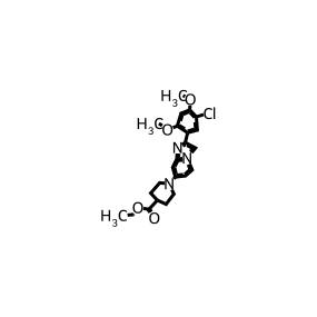 CCOC(=O)C1CCN(c2ccn3cc(-c4cc(Cl)c(OC)cc4OC)nc3c2)CC1